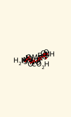 CO/N=C(\C(=O)N[C@@H]1C(=O)N2C(C(=O)O)=C(COC(=O)N3CCN(c4cc5c(cc4F)c(=O)c4c(=O)[nH]sc4n5C4CC4)CC3)CS[C@H]12)c1csc(N)n1